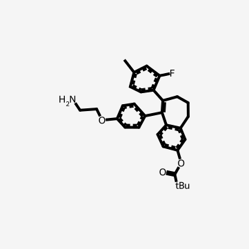 Cc1ccc(C2=C(c3ccc(OCCN)cc3)c3ccc(OC(=O)C(C)(C)C)cc3CCC2)c(F)c1